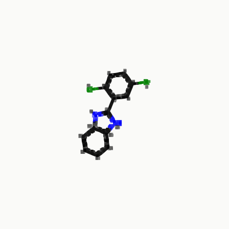 Clc1ccc(Br)cc1-c1nc2ccccc2[nH]1